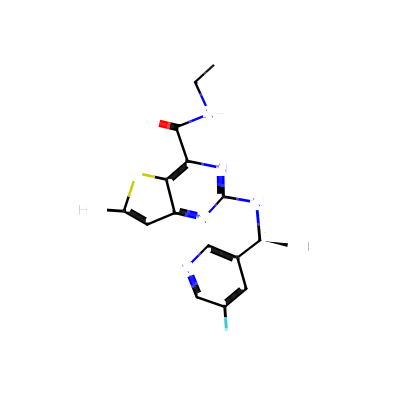 Cc1cc2nc(N[C@@H](C)c3cncc(F)c3)nc(C(=O)NCC(F)(F)F)c2s1